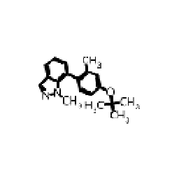 Cc1cc(OC(C)(C)C)ccc1-c1cccc2cnn(C)c12